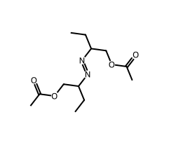 CCC(COC(C)=O)N=NC(CC)COC(C)=O